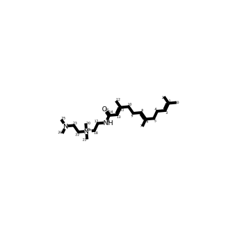 CC(C)=CCCC(C)=CCCC(C)=CC(=O)NCC[N+](C)(C)CCN(C)C